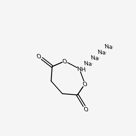 O=C1CCC(=O)ONO1.[Na].[Na].[Na].[Na]